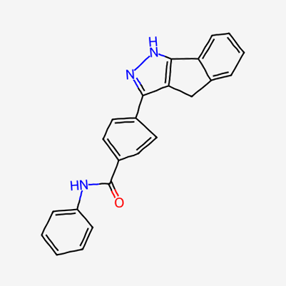 O=C(Nc1ccccc1)c1ccc(-c2n[nH]c3c2Cc2ccccc2-3)cc1